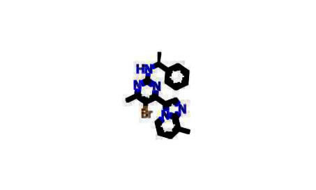 Cc1nc(N[C@@H](C)c2ccccc2)nc(-c2cnc3c(C)cccn23)c1Br